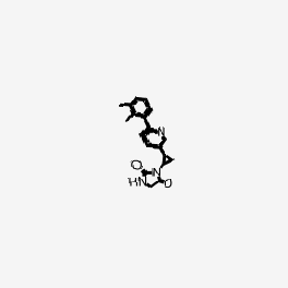 Cc1cccc(-c2ccc(C3CC3N3C(=O)CNC3=O)cn2)c1C